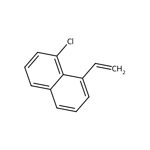 C=Cc1cccc2cccc(Cl)c12